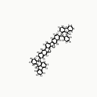 CC1(C)c2ccccc2-c2cccc(N(c3ccccc3)c3ccc4cc5c(cc4c3)oc3c5ccc4c5cc6ccc(N(c7ccccc7)c7cccc8c7C(C)(C)c7ccccc7-8)cc6cc5oc43)c21